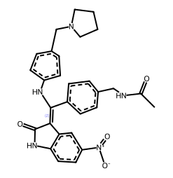 CC(=O)NCc1ccc(/C(Nc2ccc(CN3CCCC3)cc2)=C2/C(=O)Nc3ccc([N+](=O)[O-])cc32)cc1